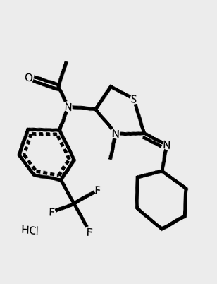 CC(=O)N(c1cccc(C(F)(F)F)c1)C1CSC(=NC2CCCCC2)N1C.Cl